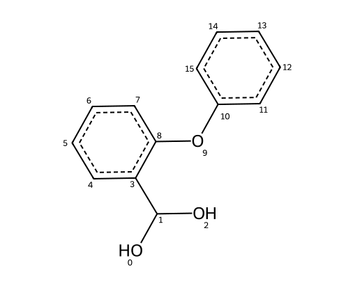 OC(O)c1ccccc1Oc1ccccc1